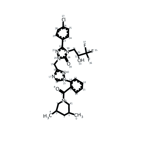 CC1CC(C)CN(C(=O)c2ccccc2-n2cnc(Cn3nc(-c4ccc(Cl)cc4)n(C[C@H](O)C(F)(F)F)c3=O)n2)C1